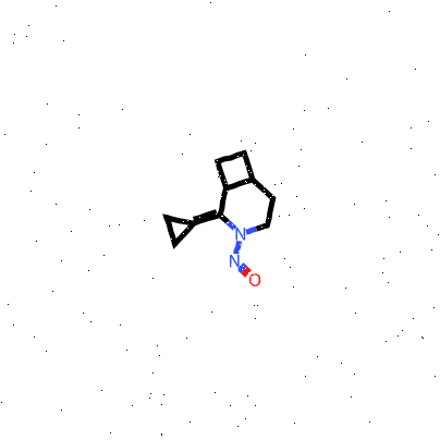 O=NN1CCC2CCC2C1=C1CC1